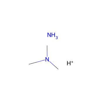 CN(C)C.N.[H+]